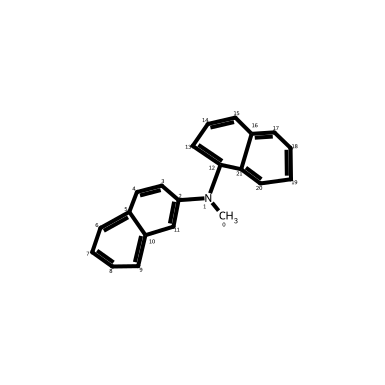 CN(c1ccc2ccccc2c1)c1cccc2ccccc12